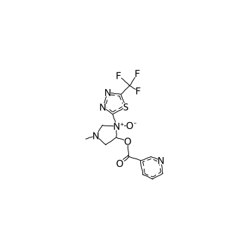 CN1CC(OC(=O)c2cccnc2)[N+]([O-])(c2nnc(C(F)(F)F)s2)C1